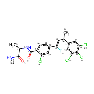 CCNC(=O)[C@@H](C)NC(=O)c1ccc(/C(F)=C/C(c2cc(Cl)c(Cl)c(Cl)c2)C(F)(F)F)cc1Cl